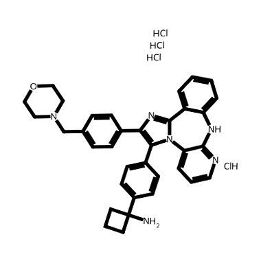 Cl.Cl.Cl.Cl.NC1(c2ccc(-c3c(-c4ccc(CN5CCOCC5)cc4)nc4n3-c3cccnc3Nc3ccccc3-4)cc2)CCC1